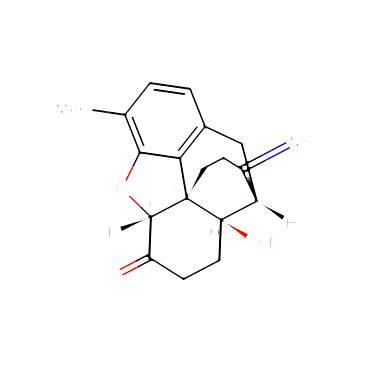 COc1ccc2c3c1O[C@H]1C(=O)CC[C@@]4(O)[C@@H](C2)C(=N)CC[C@]314